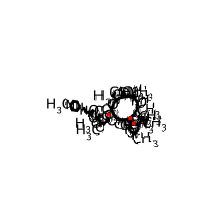 CC[C@H]1OC(=O)[C@H](C)[C@@H](O[C@H]2C[C@@](C)(OC)[C@@H](OC(=O)CCN3CCN(C)CC3)[C@H](C)O2)[C@H](C)[C@@H](O[C@@H]2O[C@H](C)C[C@H](N(C)C)[C@H]2O)[C@](C)(OC)C[C@@H](C)C(=O)N[C@H](C)[C@@H](O)[C@]1(C)O